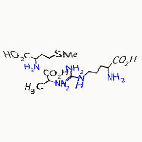 CC(N)C(=O)O.CSCCC(N)C(=O)O.N=C(N)NCCCC(N)C(=O)O